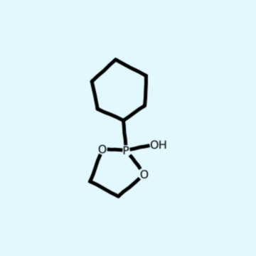 O[P]1(C2CCCCC2)OCCO1